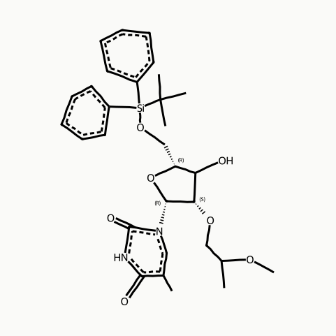 COC(C)CO[C@H]1C(O)[C@@H](CO[Si](c2ccccc2)(c2ccccc2)C(C)(C)C)O[C@H]1n1cc(C)c(=O)[nH]c1=O